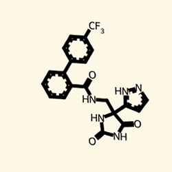 O=C1NC(=O)C(CNC(=O)c2ccccc2-c2ccc(C(F)(F)F)cc2)(c2ccn[nH]2)N1